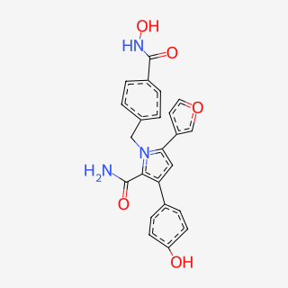 NC(=O)c1c(-c2ccc(O)cc2)cc(-c2ccoc2)n1Cc1ccc(C(=O)NO)cc1